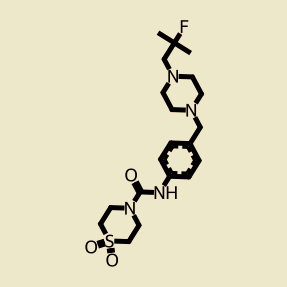 CC(C)(F)CN1CCN(Cc2ccc(NC(=O)N3CCS(=O)(=O)CC3)cc2)CC1